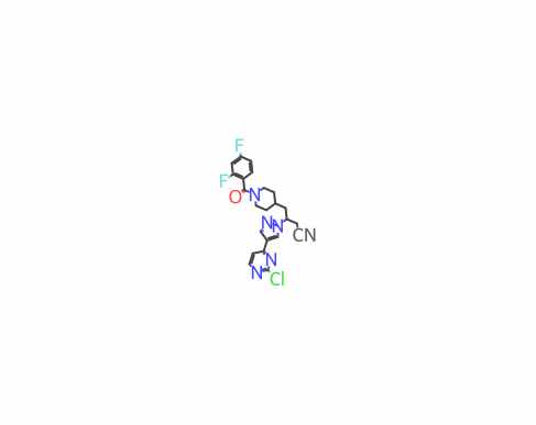 N#CCC(CC1CCN(C(=O)c2ccc(F)cc2F)CC1)n1cc(-c2ccnc(Cl)n2)cn1